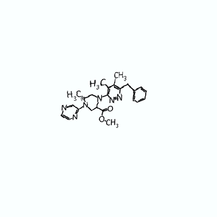 COC(=O)C1CN(c2cnccn2)[C@H](C)CN1c1nnc(Cc2ccccc2)c(C)c1C